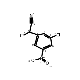 N#CC(Cl)c1cc(Cl)cc([N+](=O)[O-])c1